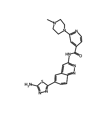 CN1CCN(c2cc(C(=O)Nc3cc4cc(-c5nnc(N)s5)ccc4nn3)ccn2)CC1